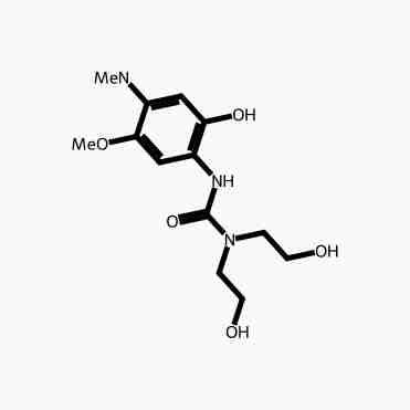 CNc1cc(O)c(NC(=O)N(CCO)CCO)cc1OC